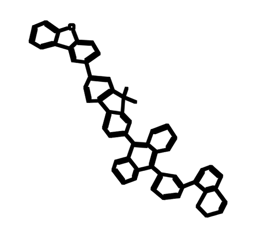 CC1(C)c2cc(-c3ccc4oc5ccccc5c4c3)ccc2-c2ccc(-c3c4ccccc4c(-c4cccc(-c5cccc6c5CCC=C6)c4)c4ccccc34)cc21